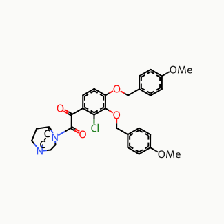 COc1ccc(COc2ccc(C(=O)C(=O)N3CCN4CCC3CC4)c(Cl)c2OCc2ccc(OC)cc2)cc1